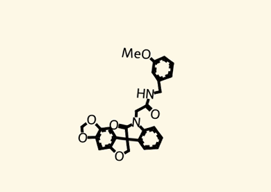 COc1cccc(CNC(=O)CN2C(=O)C3(COc4cc5c(cc43)OCO5)c3ccccc32)c1